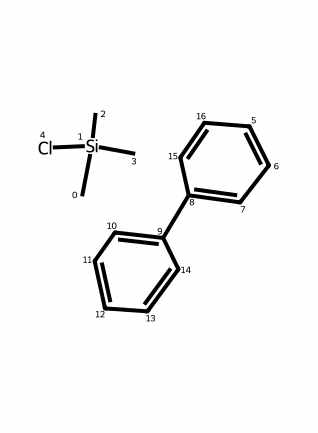 C[Si](C)(C)Cl.c1ccc(-c2ccccc2)cc1